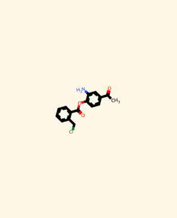 CC(=O)c1ccc(OC(=O)c2ccccc2CCl)c(N)c1